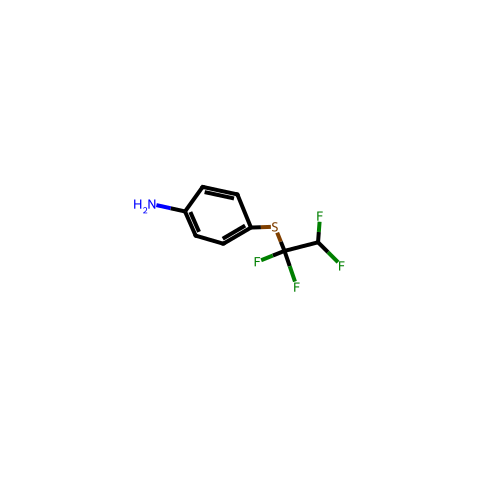 Nc1ccc(SC(F)(F)C(F)F)cc1